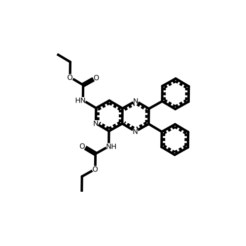 CCOC(=O)Nc1cc2nc(-c3ccccc3)c(-c3ccccc3)nc2c(NC(=O)OCC)n1